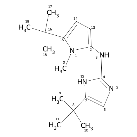 Cn1c(Nc2ncc(C(C)(C)C)[nH]2)ccc1C(C)(C)C